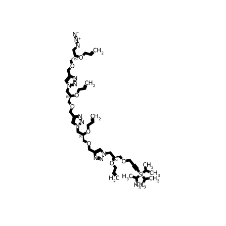 C=CCO[C@H](COCC#C[Si](C(C)C)(C(C)C)C(C)C)Cn1cc(COC[C@@H](Cn2cc(COC[C@@H](Cn3cc(COC[C@H](CN=[N+]=[N-])OCC=C)nn3)OCC=C)nn2)OCC=C)nn1